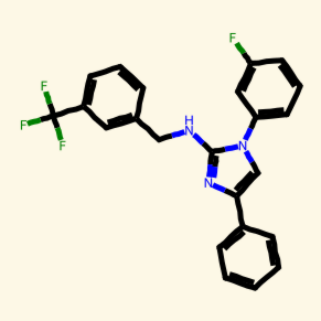 Fc1cccc(-n2cc(-c3ccccc3)nc2NCc2cccc(C(F)(F)F)c2)c1